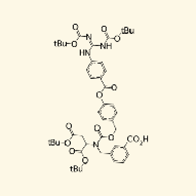 CC(C)(C)OC(=O)CC(C(=O)OC(C)(C)C)N(Cc1cccc(C(=O)O)c1)C(=O)OCc1ccc(OC(=O)c2ccc(NC(=NC(=O)OC(C)(C)C)NC(=O)OC(C)(C)C)cc2)cc1